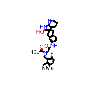 CNCc1cccc(F)c1CN(CC(=O)Nc1ccc2c(c1)CC1(C2)c2cccnc2NC1O)C(=O)C(C)(C)C